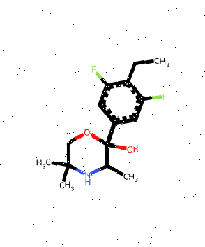 CCc1c(F)cc(C2(O)OCC(C)(C)NC2C)cc1F